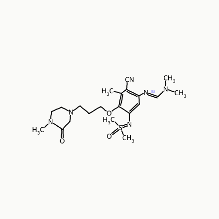 Cc1c(C#N)c(/N=C/N(C)C)cc(N=S(C)(C)=O)c1OCCCN1CCN(C)C(=O)C1